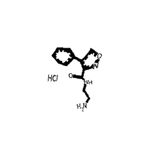 Cl.NCCNC(=O)c1nocc1-c1ccccc1